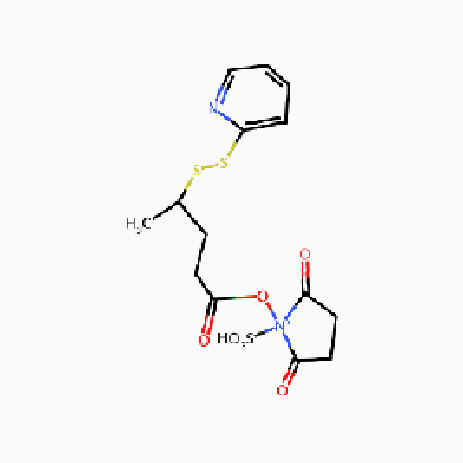 CC(CCC(=O)O[N+]1(S(=O)(=O)O)C(=O)CCC1=O)SSc1ccccn1